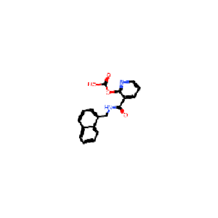 O=C(O)Oc1ncccc1C(=O)NCc1cccc2ccccc12